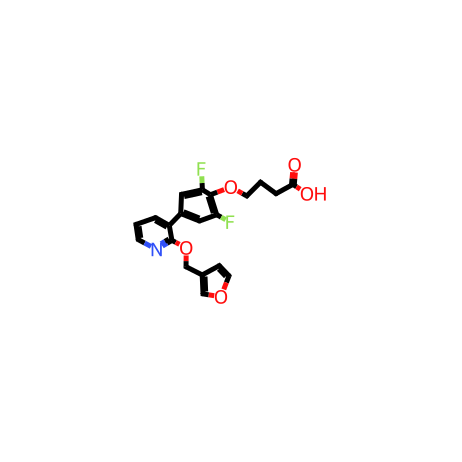 O=C(O)CCCOc1c(F)cc(-c2cccnc2OCc2ccoc2)cc1F